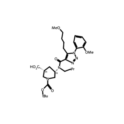 COCCCCc1c(C(=O)N(CC(C)C)[C@H]2C[C@@H](C(=O)O)CN(C(=O)OC(C)(C)C)C2)nnn1-c1ccccc1OC